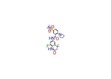 CN(C)S(=O)(=O)c1ccc(N2CCCC2)c(C(=O)Nc2cc(F)c3c(c2)C(C)(C)CC(=O)N3)c1